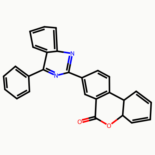 O=C1OC2C=CC=CC2c2ccc(-c3nc(-c4ccccc4)c4ccccc4n3)cc21